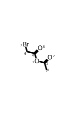 [CH2]C(=O)OC(=O)CBr